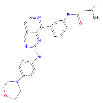 C/C(F)=C\C(=O)Nc1cccc(-c2nccc3cnc(Nc4ccc(N5CCOCC5)cc4)nc23)c1